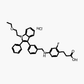 CCOCCn1c(-c2ccccc2)c(-c2cccc(CNc3ccc(CCC(=O)O)c(F)c3)c2)c2ccccc21.Cl